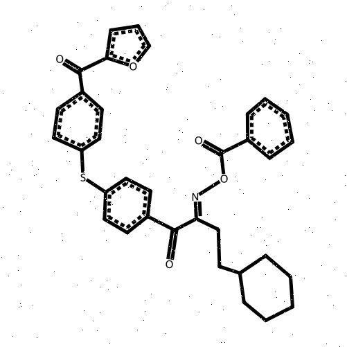 O=C(O/N=C(\CCC1CCCCC1)C(=O)c1ccc(Sc2ccc(C(=O)c3ccco3)cc2)cc1)c1ccccc1